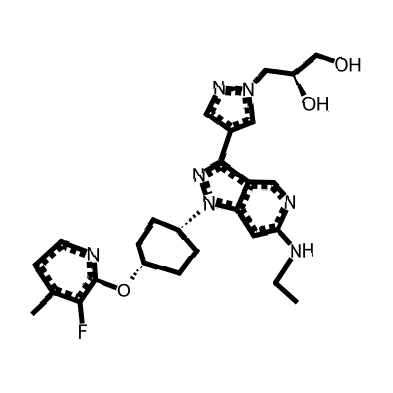 CCNc1cc2c(cn1)c(-c1cnn(C[C@H](O)CO)c1)nn2[C@H]1CC[C@@H](Oc2nccc(C)c2F)CC1